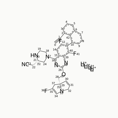 C#Cc1cccc2cccc(-c3c(F)cc4c(N5CCN[C@@H](CC#N)C5)nc(OC[C@]56C=CCN5C=C(F)C6)nc4c3F)c12.[H+].[H+].[H+].[H+]